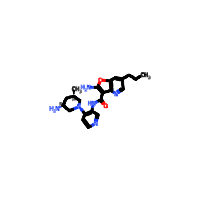 CCCc1cnc2c(C(=O)Nc3cnccc3N3C[C@@H](C)C[C@@H](N)C3)c(N)oc2c1